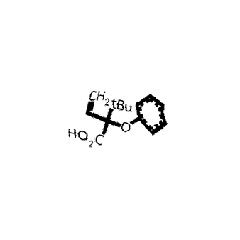 C=CC(Oc1ccccc1)(C(=O)O)C(C)(C)C